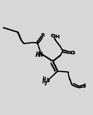 CCCC(=O)N/C(C(=O)O)=C(\N)CC=S